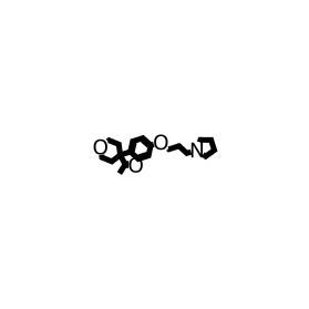 CC(=O)C1(c2ccc(OCCCN3CCCC3)cc2)CCOCC1